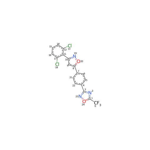 FC(F)(F)c1nc(-c2ccc(-c3cc(-c4c(Cl)cccc4Cl)no3)cc2)no1